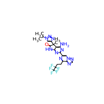 CC(C)n1cc(C2(C)C(=O)Nc3nc(-c4cn5ncnc5c(CCC(F)(F)C(F)(F)F)n4)nc(N)c32)nn1